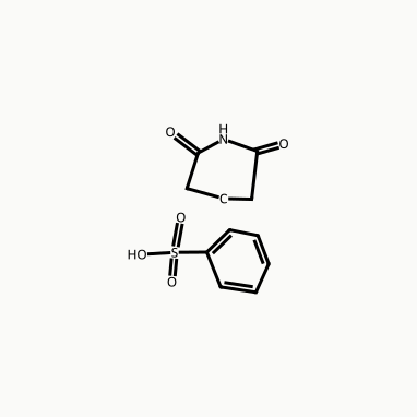 O=C1CCCC(=O)N1.O=S(=O)(O)c1ccccc1